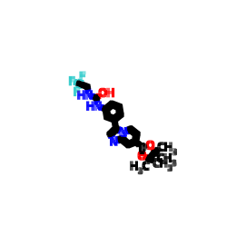 CC1(C)OB(c2ccn3c(-c4cccc(NC(O)NCC(F)(F)F)c4)cnc3c2)OC1(C)C